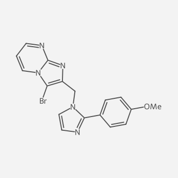 COc1ccc(-c2nccn2Cc2nc3ncccn3c2Br)cc1